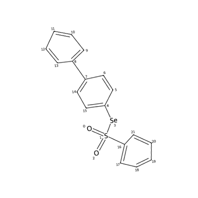 O=S(=O)([Se]c1ccc(-c2ccccc2)cc1)c1ccccc1